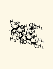 CC[C@H](C)[C@H](NC(=O)[C@@H](C[C@@H](O)[C@H](CC(C)C)NC(=O)OC(C)(C)C)C(C)C)C(=O)O